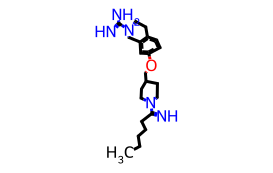 CCCCCC(=N)N1CCC(COc2ccc3c(c2)CN(C(=N)N)CC3)CC1